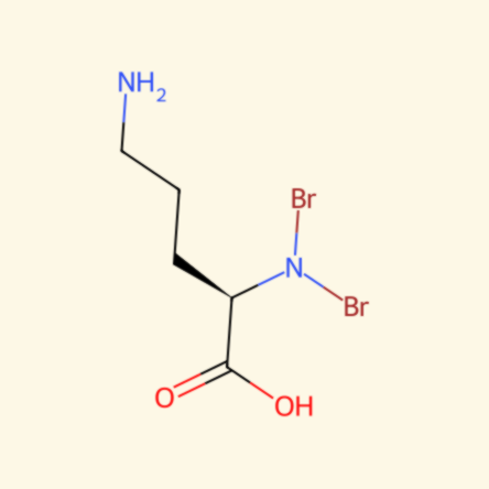 NCCC[C@H](C(=O)O)N(Br)Br